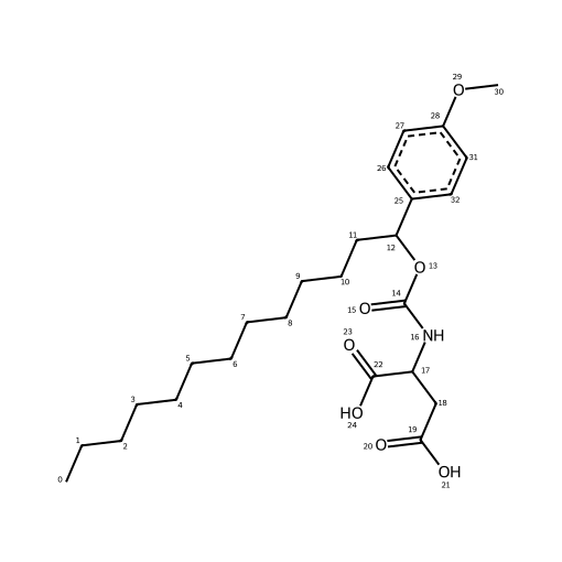 CCCCCCCCCCCCC(OC(=O)NC(CC(=O)O)C(=O)O)c1ccc(OC)cc1